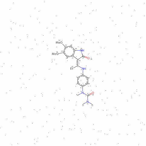 CC/C(Nc1ccc(N(C)C(=O)N(C)C)cc1)=C1/C(=O)Nc2cc(OC)c(OC)cc21